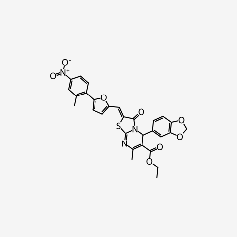 CCOC(=O)C1=C(C)N=c2sc(=Cc3ccc(-c4ccc([N+](=O)[O-])cc4C)o3)c(=O)n2C1c1ccc2c(c1)OCO2